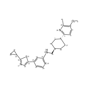 COc1ccc([C@H]2CC[C@H](CNc3cc(-c4cnc(C5CC5)s4)ccn3)CC2)nc1C